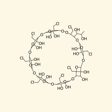 CC(O)C(O)C1OC2OC(CCl)C(OC3OC4(CCl)C(OC5OC(CCl)C(OC6OC(CCl)C(OC7OC(CCl)C(OC8OC(CCl)C(OC9OC(CCl)C(OOC1CCl)C(O)C9O)C(O)C8O)C(O)C7O)C(O)C6O)C(O)C5O)C(O)C34O)C(O)C2O